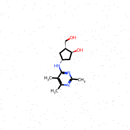 Cc1nc(C)c(C)c(N[C@@H]2C[C@H](CO)[C@@H](O)C2)n1